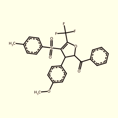 COc1ccc(C2C(S(=O)(=O)c3ccc(C)cc3)=C(C(F)(F)F)OC2C(=O)c2ccccc2)cc1